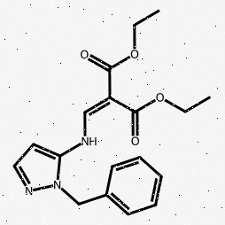 CCOC(=O)C(=CNc1ccnn1Cc1ccccc1)C(=O)OCC